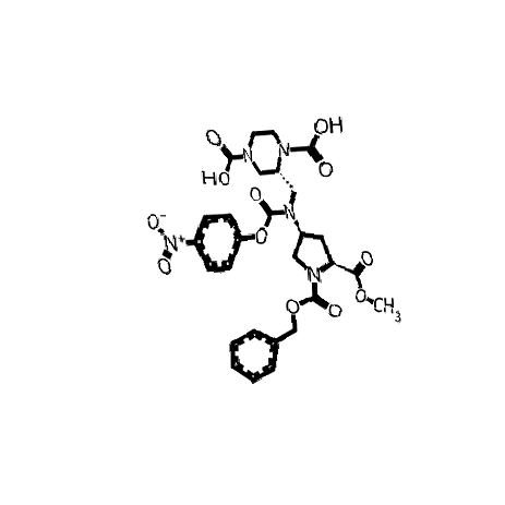 COC(=O)[C@@H]1C[C@H](N(C[C@@H]2CN(C(=O)O)CCN2C(=O)O)C(=O)Oc2ccc([N+](=O)[O-])cc2)CN1C(=O)OCc1ccccc1